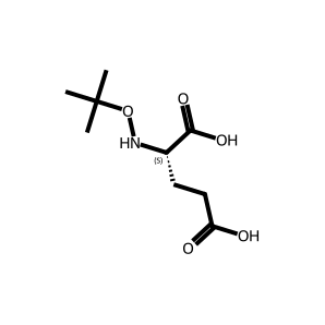 CC(C)(C)ON[C@@H](CCC(=O)O)C(=O)O